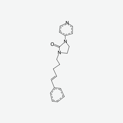 O=C1N(CCCC=Cc2ccccc2)CCN1c1ccncc1